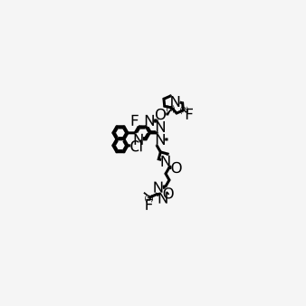 C[C@H](F)c1noc(CCC(=O)N2CC(CN(C)c3nc(OC[C@@]45CCCN4C[C@H](F)C5)nc4c(F)c(-c5cccc6cccc(Cl)c56)ncc34)C2)n1